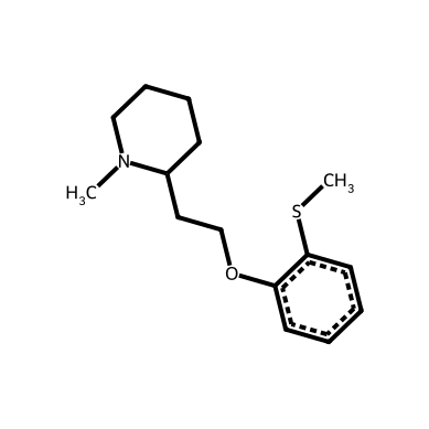 CSc1ccccc1OCCC1CCCCN1C